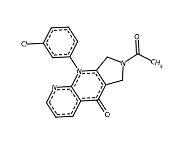 CC(=O)N1Cc2c(n(-c3cccc(Cl)c3)c3ncccc3c2=O)C1